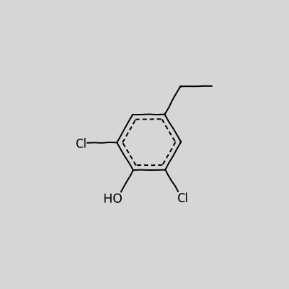 CCc1cc(Cl)c(O)c(Cl)c1